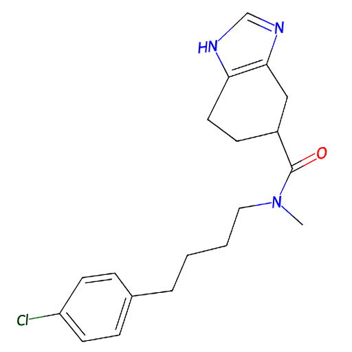 CN(CCCCc1ccc(Cl)cc1)C(=O)C1CCc2[nH]cnc2C1